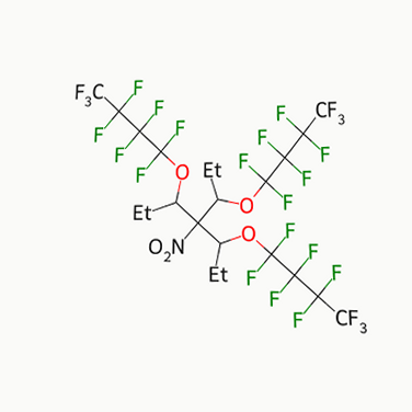 CCC(OC(F)(F)C(F)(F)C(F)(F)C(F)(F)F)C(C(CC)OC(F)(F)C(F)(F)C(F)(F)C(F)(F)F)(C(CC)OC(F)(F)C(F)(F)C(F)(F)C(F)(F)F)[N+](=O)[O-]